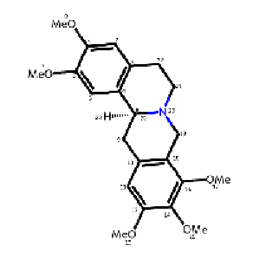 COc1cc2c(cc1OC)[C@@H]1Cc3cc(OC)c(OC)c(OC)c3CN1CC2